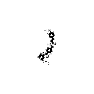 Nc1ccc(C=CC(=O)NCc2ccc(C(=O)Nc3ccnc(N)c3)cc2)cc1